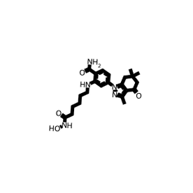 Cc1nn(-c2ccc(C(N)=O)c(NCCCCCC(=O)NO)c2)c2c1C(=O)CC(C)(C)C2